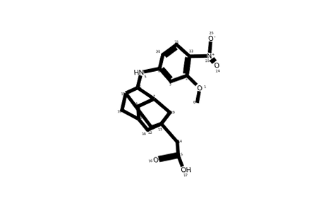 COc1cc(NC2C3CC4CC2CC(CC(=O)O)(C4)C3)ccc1[N+](=O)[O-]